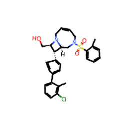 Cc1ccccc1S(=O)(=O)N1C/C=C\CN2[C@H](CO)[C@@H](c3ccc(-c4cccc(Cl)c4C)cc3)[C@@H]2C1